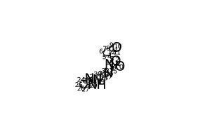 O=C1OC(c2cccc3cocc23)=NC1=CN1CC2=CN(c3nc4ccccc4[nH]3)CC2C1